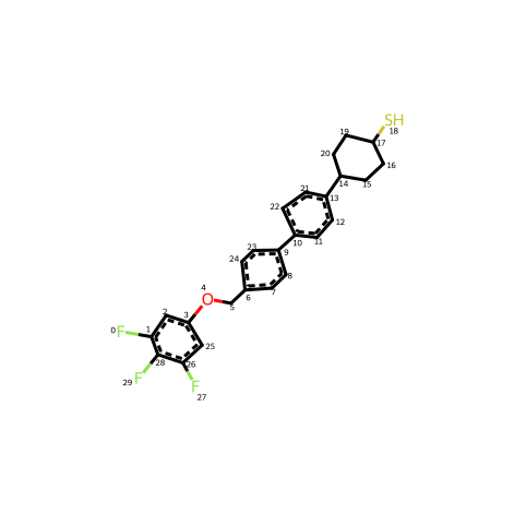 Fc1cc(OCc2ccc(-c3ccc(C4CCC(S)CC4)cc3)cc2)cc(F)c1F